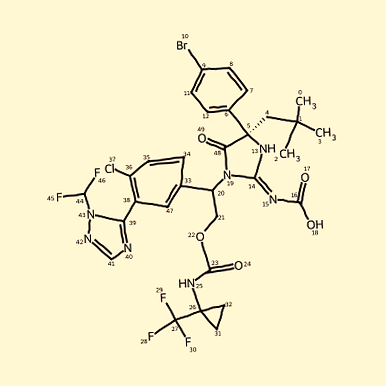 CC(C)(C)C[C@]1(c2ccc(Br)cc2)NC(=NC(=O)O)N(C(COC(=O)NC2(C(F)(F)F)CC2)c2ccc(Cl)c(-c3ncnn3C(F)F)c2)C1=O